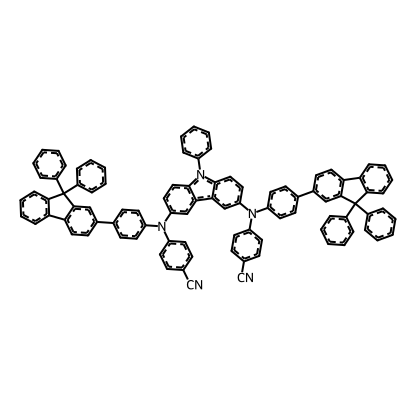 N#Cc1ccc(N(c2ccc(-c3ccc4c(c3)C(c3ccccc3)(c3ccccc3)c3ccccc3-4)cc2)c2ccc3c(c2)c2cc(N(c4ccc(C#N)cc4)c4ccc(-c5ccc6c(c5)C(c5ccccc5)(c5ccccc5)c5ccccc5-6)cc4)ccc2n3-c2ccccc2)cc1